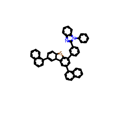 C1=CC2Sc3c(-c4cccc(-c5nc6ccccc6n5-c5ccccc5)c4)cc(-c4cccc5ccccc45)cc3C2C=C1c1cccc2ccccc12